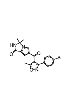 Cc1onc(-c2ccc(Br)cc2)c1C(=O)c1cc2n(c1)C(C)(C)NC2=O